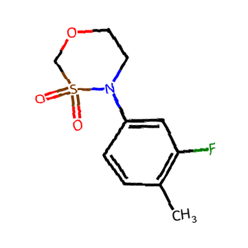 Cc1ccc(N2CCOCS2(=O)=O)cc1F